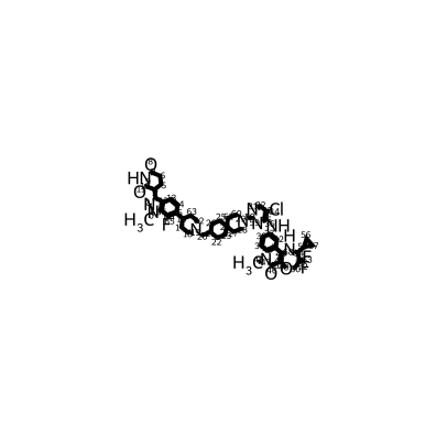 Cn1nc(C2CCC(=O)NC2=O)c2ccc(C3CCN(CC4CCC5(CC4)CCN(c4ncc(Cl)c(Nc6ccc7c(c6)c6c(c(=O)n7C)OCC(F)(F)C(C7CC7)N6)n4)CC5)CC3)c(F)c21